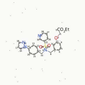 CCOC(=O)COc1cccc(CN(Cc2ccc(-n3cccn3)cc2)S(=O)(=O)c2cccnc2)c1